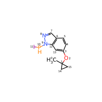 CC1(Oc2ccc3cnn(PI)c3c2)CC1